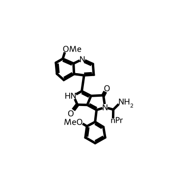 CCCC(N)N1C(=O)C2=C(c3ccnc4c(OC)cccc34)NC(=O)C2=C1c1ccccc1OC